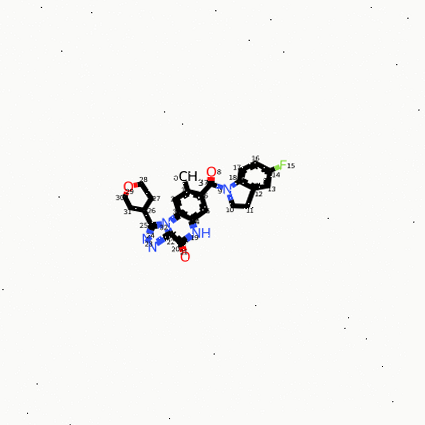 Cc1cc2c(cc1C(=O)N1CCc3cc(F)ccc31)[nH]c(=O)c1nnc(C3CCOCC3)n12